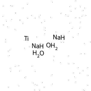 O.O.[NaH].[NaH].[Ti]